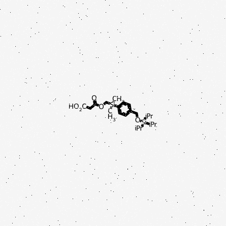 CC(C)[Si](OCc1ccc([Si](C)(C)COC(=O)CC(=O)O)cc1)(C(C)C)C(C)C